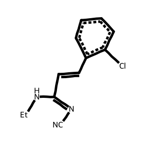 CCNC(C=Cc1ccccc1Cl)=NC#N